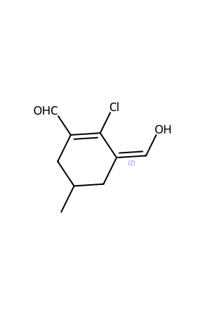 CC1CC(C=O)=C(Cl)/C(=C\O)C1